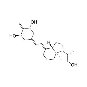 C=C1[C@H](O)CC(=C/C=C2\CCC[C@]3(C)[C@@H]([C@H](C)CO)CC[C@@H]23)C[C@H]1O